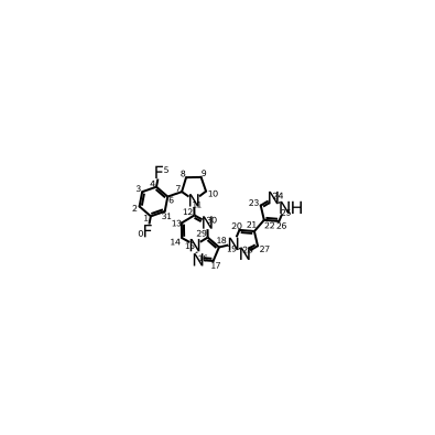 Fc1ccc(F)c(C2CCCN2c2ccn3ncc(-n4cc(-c5cn[nH]c5)cn4)c3n2)c1